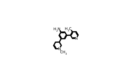 Cc1ccncc1-c1cc(N)cc(C2CC=CN(C)C2)c1